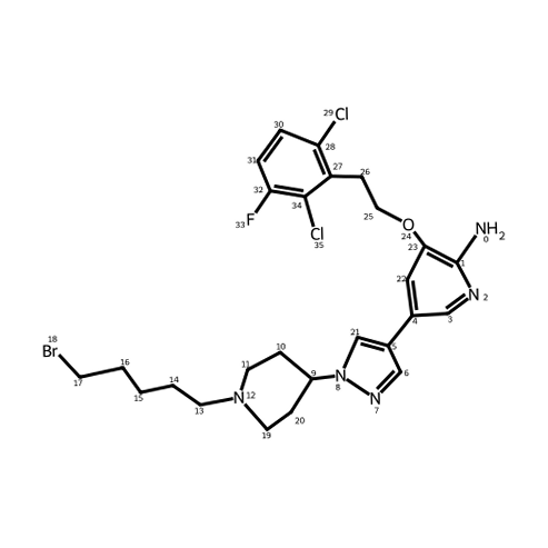 Nc1ncc(-c2cnn(C3CCN(CCCCCBr)CC3)c2)cc1OCCc1c(Cl)ccc(F)c1Cl